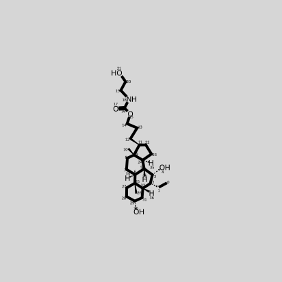 CC[C@H]1[C@@H](O)[C@@H]2[C@H](CC[C@]3(C)[C@@H](CCCOC(=O)NCCO)CC[C@@H]23)[C@@]2(C)CC[C@@H](O)C[C@@H]12